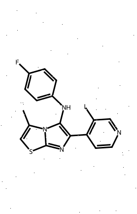 Cc1csc2nc(-c3ccncc3I)c(Nc3ccc(F)cc3)n12